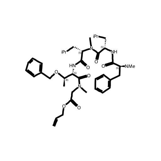 C=CCOC(=O)CN(C)C(=O)[C@@H](NC(=O)[C@H](CC(C)C)N(C)C(=O)[C@H](CC(C)C)NC(=O)[C@H](Cc1ccccc1)NC)[C@@H](C)OCc1ccccc1